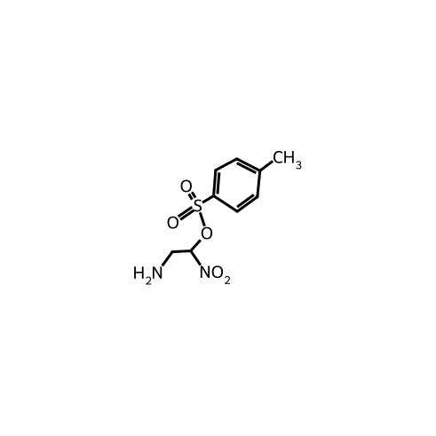 Cc1ccc(S(=O)(=O)OC(CN)[N+](=O)[O-])cc1